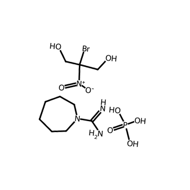 N=C(N)N1CCCCCC1.O=P(O)(O)O.O=[N+]([O-])C(Br)(CO)CO